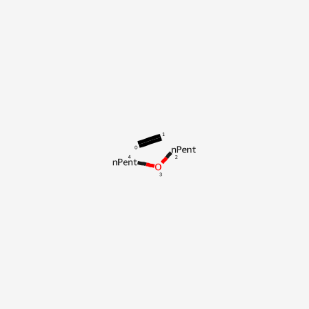 C=C.CCCCCOCCCCC